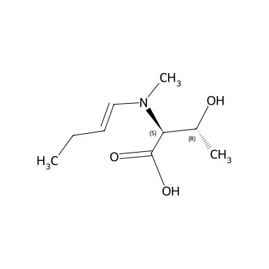 CCC=CN(C)[C@H](C(=O)O)[C@@H](C)O